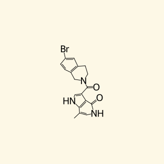 Cc1c[nH]c(=O)c2c(C(=O)N3CCc4cc(Br)ccc4C3)c[nH]c12